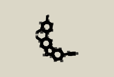 Cc1ccc(-c2cc3c(cc2C)oc2ccc(C#N)cc23)[n+](C)c1